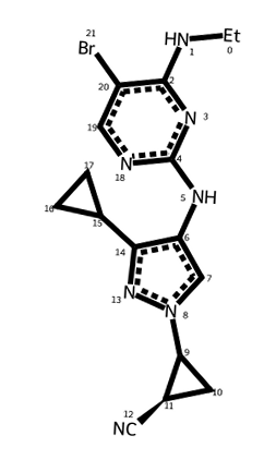 CCNc1nc(Nc2cn(C3C[C@H]3C#N)nc2C2CC2)ncc1Br